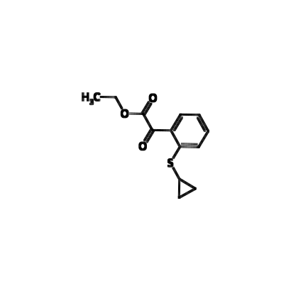 CCOC(=O)C(=O)c1ccccc1SC1CC1